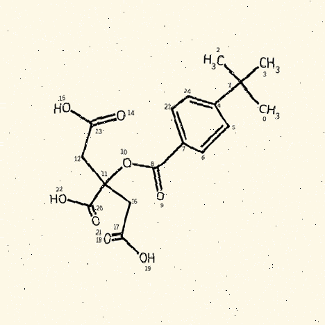 CC(C)(C)c1ccc(C(=O)OC(CC(=O)O)(CC(=O)O)C(=O)O)cc1